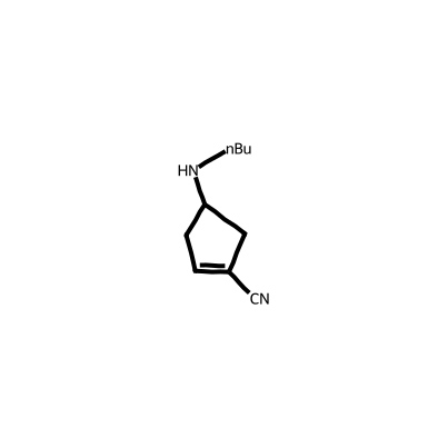 CCCCNC1CC=C(C#N)C1